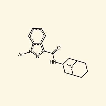 CC(=O)n1nc(C(=O)NC2CC3CCCC(C2)N3C)c2ccccc21